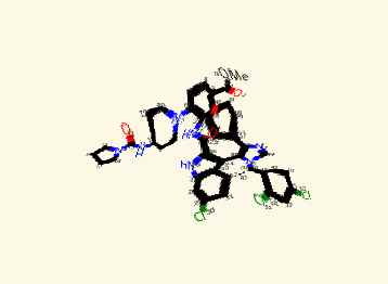 COC(=O)c1ccc(N2CCC(NC(=O)N3CCCC3)CC2)c(NC(=O)c2[nH]c3cc(Cl)ccc3c2-c2c(-c3ccccc3)ncn2[C@@H](C)c2ccc(Cl)cc2Cl)c1